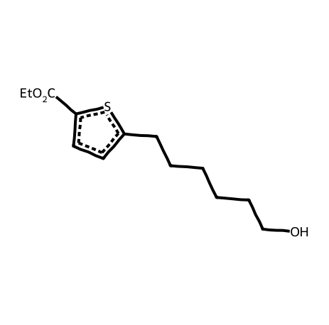 CCOC(=O)c1ccc(CCCCCCO)s1